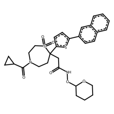 O=C(CC1(c2ccc(-c3ccc4ccccc4c3)s2)CCN(C(=O)C2CC2)CCS1(=O)=O)NOC1CCCCO1